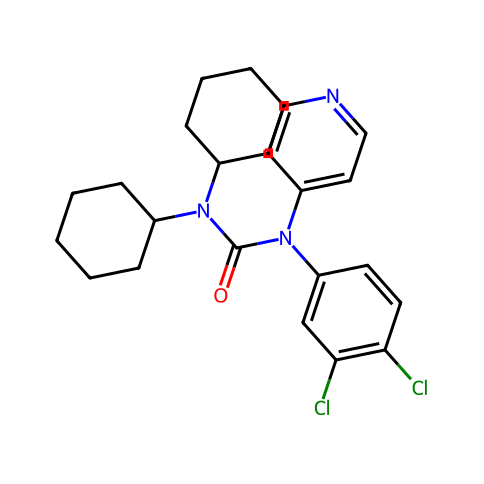 O=C(N(c1ccncc1)c1ccc(Cl)c(Cl)c1)N(C1CCCCC1)C1CCCCC1